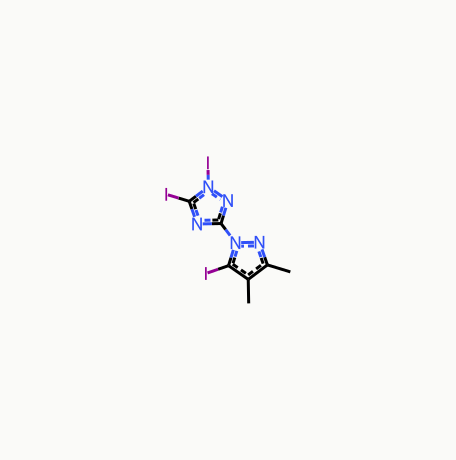 Cc1nn(-c2nc(I)n(I)n2)c(I)c1C